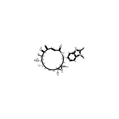 C=C1/C=C/C(=O)O[C@H](c2ccc3c(c2)nc(C)n3C)C[C@@H]2O[C@H]2CCC[C@H](C)[C@H](O)[C@@H](C)C1=O